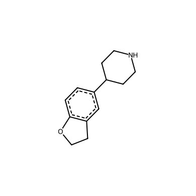 c1cc2c(cc1C1CCNCC1)CCO2